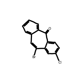 O=c1c2ccccc2cc(Br)c2cc(Cl)ccc12